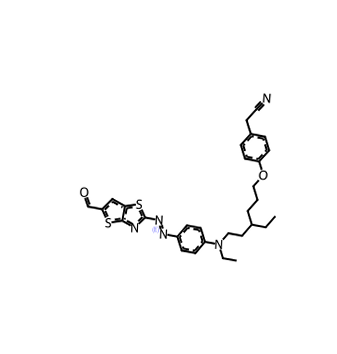 CCC(CCCOc1ccc(CC#N)cc1)CCN(CC)c1ccc(/N=N/c2nc3sc(C=O)cc3s2)cc1